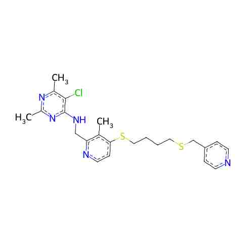 Cc1nc(C)c(Cl)c(NCc2nccc(SCCCCSCc3ccncc3)c2C)n1